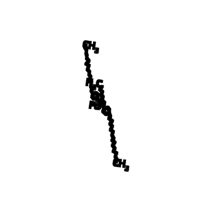 CCCCCCCCCCCCCCCCC=Cc1ccc(N=CC(CCCCCC)=Nc2ccc(C=CCCCCCCCCCCCCCCCC)cc2)cc1.[Pd]